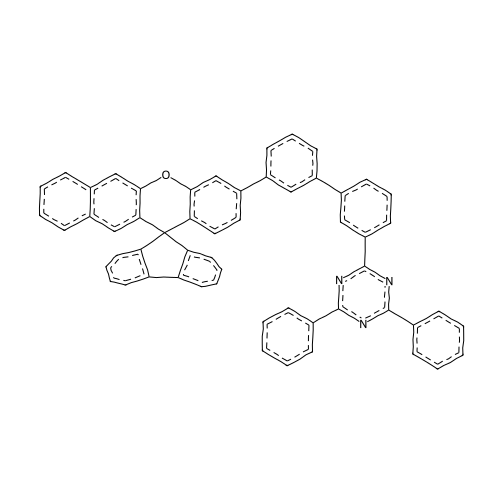 c1ccc(-c2nc(-c3ccccc3)nc(-c3cccc(-c4cccc(-c5ccc6c(c5)Oc5cc7ccccc7cc5C65c6ccccc6-c6ccccc65)c4)c3)n2)cc1